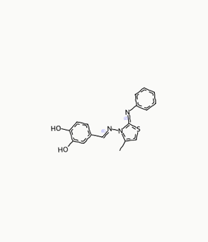 Cc1cs/c(=N\c2ccccc2)n1/N=C/c1ccc(O)c(O)c1